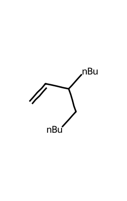 C=CC(CCCC)CCCCC